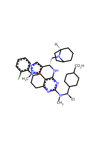 CC[C@H](C1CCC(C(=O)O)CC1)N(C)c1nc2c(c(N[C@@H](CN3C4CCC[C@@H]3CC4)c3cnn(C)c3)n1)C[C@H](c1ccccc1F)CC2